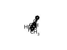 Cc1cc2c(c(O)c1F)C(=O)N1C[C@@H](OCc3ccccc3)C[C@@H]1CO2